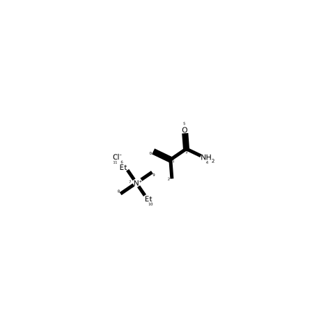 C=C(C)C(N)=O.CC[N+](C)(C)CC.[Cl-]